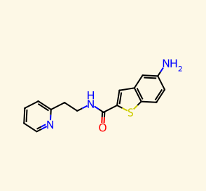 Nc1ccc2sc(C(=O)NCCc3ccccn3)cc2c1